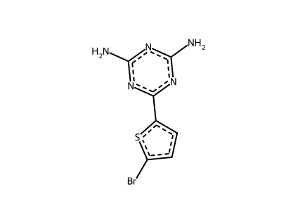 Nc1nc(N)nc(-c2ccc(Br)s2)n1